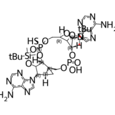 CC(C)(C)[Si](C)(C)OC1[C@H]2OP(=O)(O)OC[C@@]34C[C@@H]3[C@@H](n3cnc5c(N)ncnc53)C(O[Si](C)(C)C(C)(C)C)[C@@H]4O[P@@](=O)(S)OC[C@H]1O[C@H]2n1cnc2c(N)ncnc21